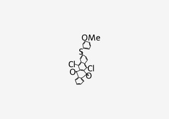 COc1cccc(Sc2ccc3c(Cl)c4c(c(Cl)c3c2)C(=O)c2ccccc2C4=O)c1